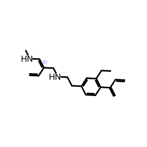 C=CC(=C)c1ccc(CCNC/C(C=C)=C/NC)cc1CC